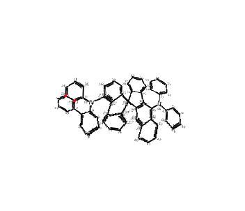 c1ccc(-c2ccccc2N(c2ccccc2)c2cccc3c2-c2ccccc2C32c3ccccc3-c3c2cc2ccccc2c3N(c2ccccc2)c2ccccc2)cc1